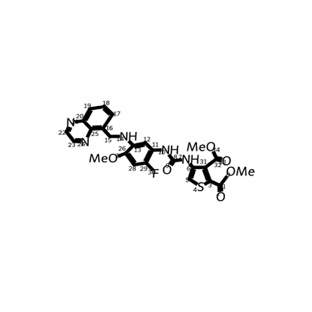 COC(=O)c1scc(NC(=O)Nc2cc(NCc3cccc4nccnc34)c(OC)cc2F)c1C(=O)OC